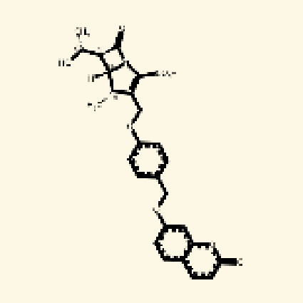 C[C@@H](O)[C@H]1C(=O)N2C(C(=O)O)=C(COc3ccc(COc4ccc5ccc(=O)oc5c4)cc3)[C@H](C)[C@H]12